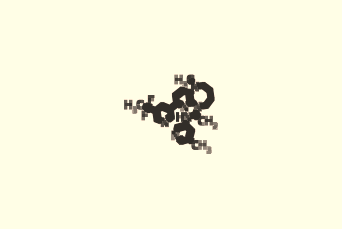 C=C(Nc1cncc(C)c1)N1CCCCN(C)c2ccc(-c3cncc(C(C)(F)F)c3)nc21